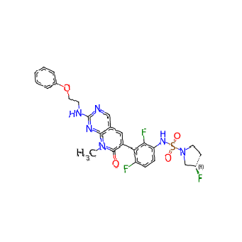 Cn1c(=O)c(-c2c(F)ccc(NS(=O)(=O)N3CC[C@@H](F)C3)c2F)cc2cnc(NCCOc3ccccc3)nc21